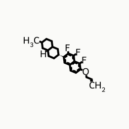 C=CCOc1ccc2cc([C@@H]3CC[C@@H]4CC(C)CCC4C3)c(F)c(F)c2c1F